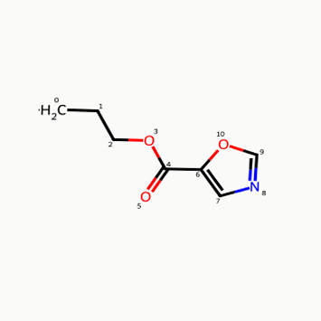 [CH2]CCOC(=O)c1cnco1